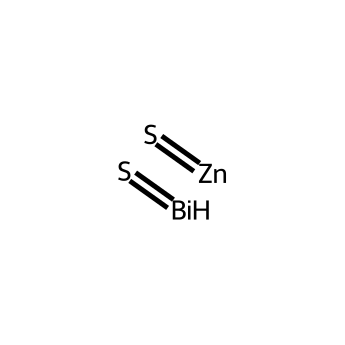 [S]=[BiH].[S]=[Zn]